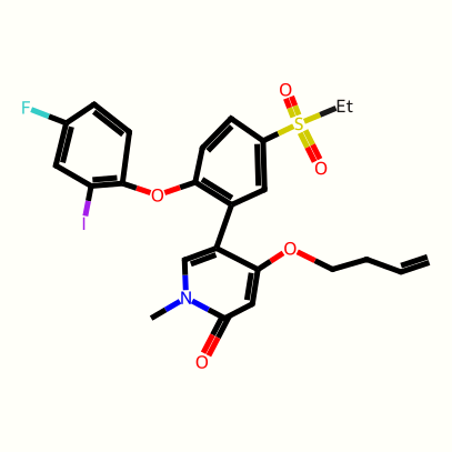 C=CCCOc1cc(=O)n(C)cc1-c1cc(S(=O)(=O)CC)ccc1Oc1ccc(F)cc1I